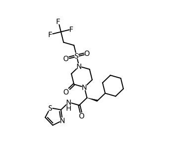 O=C(Nc1nccs1)[C@H](CC1CCCCC1)N1CCN(S(=O)(=O)CCC(F)(F)F)CC1=O